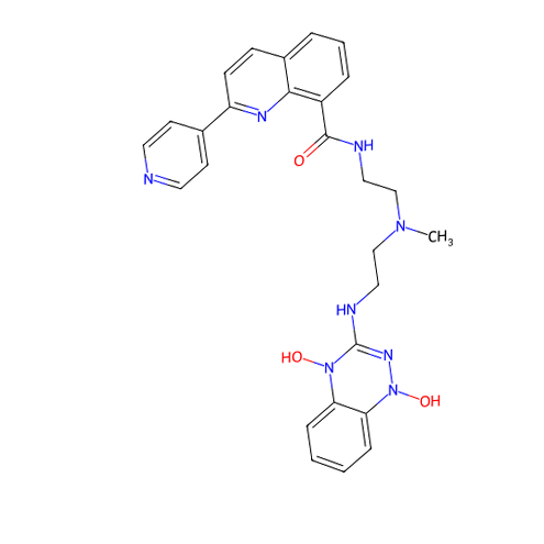 CN(CCNC(=O)c1cccc2ccc(-c3ccncc3)nc12)CCNC1=NN(O)c2ccccc2N1O